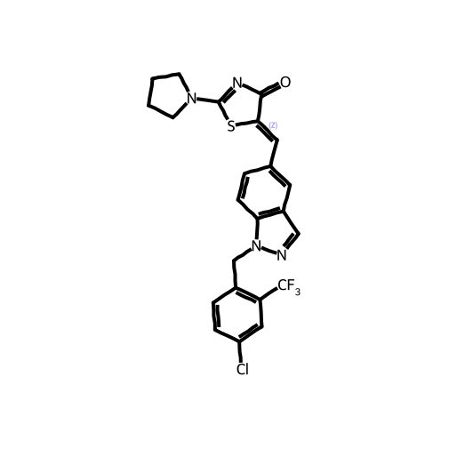 O=C1N=C(N2CCCC2)S/C1=C\c1ccc2c(cnn2Cc2ccc(Cl)cc2C(F)(F)F)c1